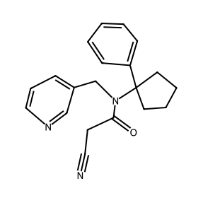 N#CCC(=O)N(Cc1cccnc1)C1(c2ccccc2)CCCC1